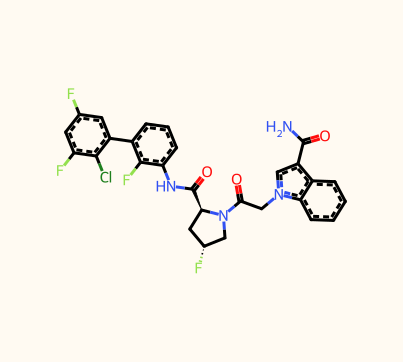 NC(=O)c1cn(CC(=O)N2C[C@H](F)C[C@H]2C(=O)Nc2cccc(-c3cc(F)cc(F)c3Cl)c2F)c2ccccc12